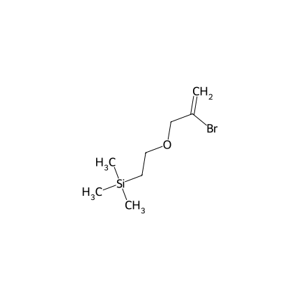 C=C(Br)COCC[Si](C)(C)C